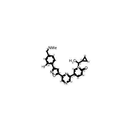 CNCc1ccc(-c2cc(-c3cncc(-c4ccc(=O)n(C(C)C5CC5)c4)n3)on2)c(F)c1